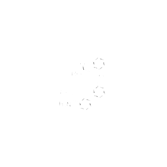 N[C@H](CC1CC1)c1cccc(-c2cccc(COc3ccccc3CC(=O)O)c2)c1